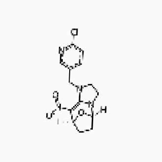 O=[N+]([O-])C1=C2N(Cc3ccc(Cl)nc3)CCN2[C@H]2CC[C@@H]1O2